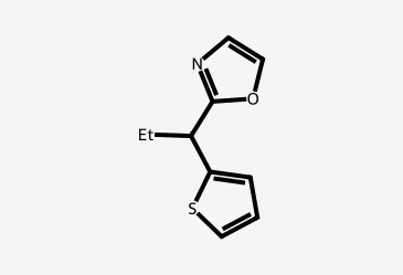 CC[C](c1ncco1)c1cccs1